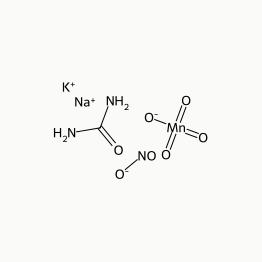 NC(N)=O.O=N[O-].[K+].[Na+].[O]=[Mn](=[O])(=[O])[O-]